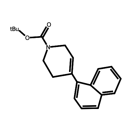 CC(C)(C)OC(=O)N1CC=C(c2cccc3ccccc23)CC1